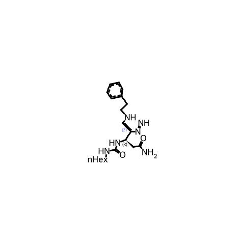 CCCCCCNC(=O)N[C@H](CC(N)=O)/C(=C/NCCc1ccccc1)N=N